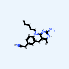 CCCCCNc1nc(N)nc(C)c1Cc1cccc(CC#N)c1